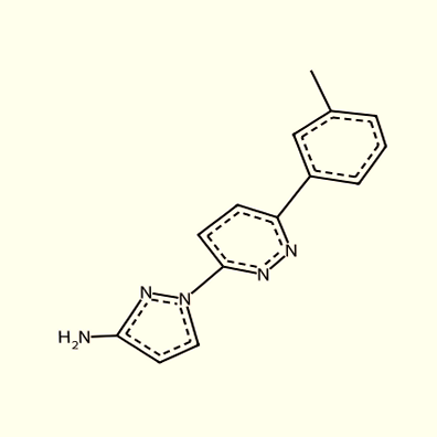 Cc1cccc(-c2ccc(-n3ccc(N)n3)nn2)c1